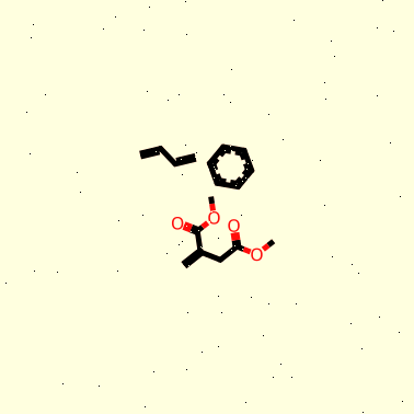 C=C(CC(=O)OC)C(=O)OC.C=CC=C.c1ccccc1